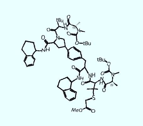 COC(=O)CSC(C)(C)C(NC(=O)[C@H](C)N(C)C(=O)OC(C)(C)C)C(=O)NC(Cc1ccc(C2CC(C(=O)NC3CCCc4ccccc43)N(C(=O)C(NC(=O)[C@H](C)N(C)C(=O)OC(C)(C)C)C(C)(C)C)C2)cc1)C(=O)NC1CCCc2ccccc21